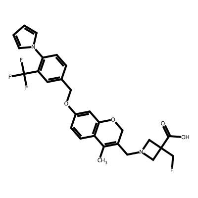 CC1=C(CN2CC(CF)(C(=O)O)C2)COc2cc(OCc3ccc(-n4cccc4)c(C(F)(F)F)c3)ccc21